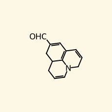 O=CC1=CC2=C3C(CC=CN3CC=C2)C1